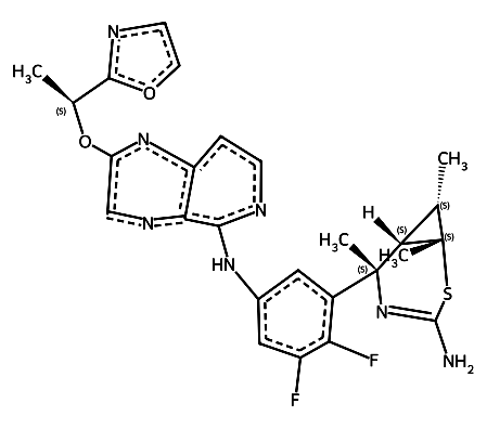 C[C@H](Oc1cnc2c(Nc3cc(F)c(F)c([C@@]4(C)N=C(N)S[C@]5(C)[C@H]4[C@@H]5C)c3)nccc2n1)c1ncco1